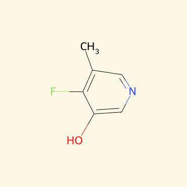 Cc1cncc(O)c1F